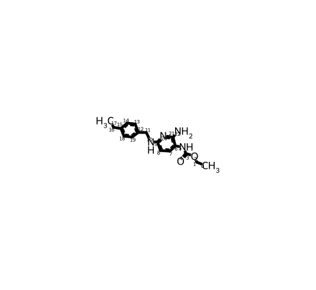 CCOC(=O)Nc1ccc(NCc2ccc(CC)cc2)nc1N